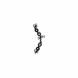 FC(F)(F)Sc1ccc(N2CCC(NC(=S)CCCN3CCN(c4ccc(C(F)(F)F)cc4)CC3)CC2)cc1